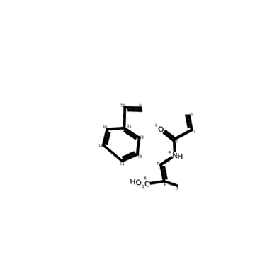 C=CC(=O)NC=C(C)C(=O)O.C=Cc1ccccc1